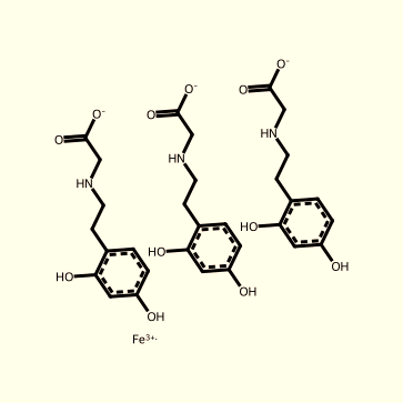 O=C([O-])CNCCc1ccc(O)cc1O.O=C([O-])CNCCc1ccc(O)cc1O.O=C([O-])CNCCc1ccc(O)cc1O.[Fe+3]